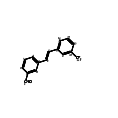 O=Cc1cccc(/C=C/c2cc(C(F)(F)F)ccn2)c1